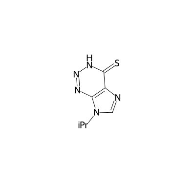 CC(C)n1cnc2c(=S)[nH]nnc21